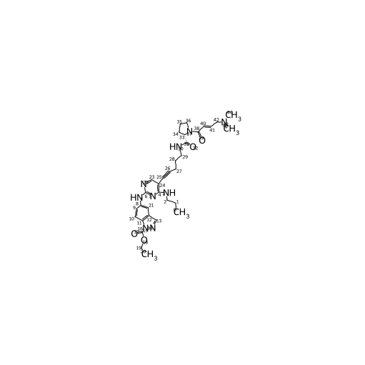 CCCNc1nc(Nc2ccc3c(cnn3C(=O)OCC)c2)ncc1C#CCCCNC(=O)[C@@H]1CCCN1C(=O)/C=C/CN(C)C